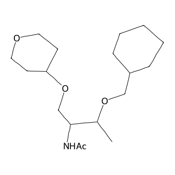 CC(=O)NC(COC1CCOCC1)C(C)OCC1CCCCC1